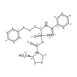 O=C(NC(CCCc1ccccc1)P(=O)(O)CC(=O)N1CCC[C@H]1C(=O)O)c1ccccc1